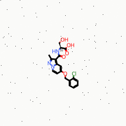 Cc1nn2ccc(OCc3ccccc3Cl)cc2c1C(=O)N[C@@H](CO)C(=O)O